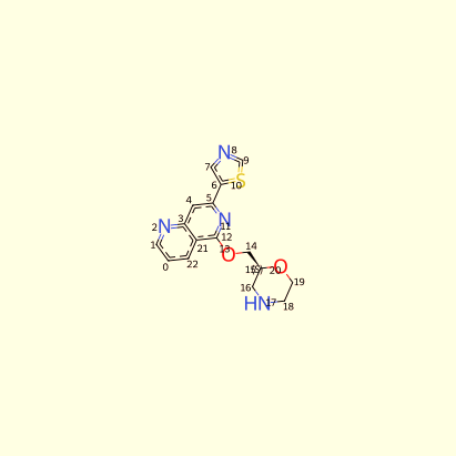 c1cnc2cc(-c3cncs3)nc(OC[C@@H]3CNCCO3)c2c1